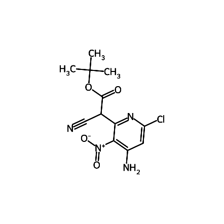 CC(C)(C)OC(=O)C(C#N)c1nc(Cl)cc(N)c1[N+](=O)[O-]